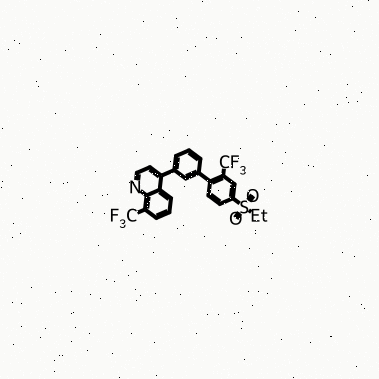 CCS(=O)(=O)c1ccc(-c2cccc(-c3ccnc4c(C(F)(F)F)cccc34)c2)c(C(F)(F)F)c1